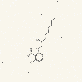 CCCCCCCC(O)CNc1ccnc(Cl)c1[N+](=O)[O-]